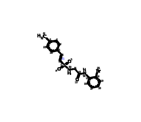 Cc1ccc(/C=C/S(=O)(=O)NCC(=O)Nc2ccccc2Br)cc1